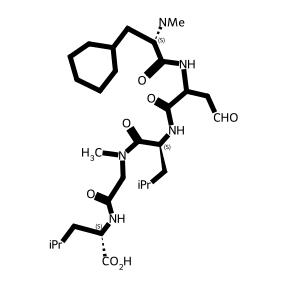 CN[C@@H](CC1CCCCC1)C(=O)NC(CC=O)C(=O)N[C@@H](CC(C)C)C(=O)N(C)CC(=O)N[C@@H](CC(C)C)C(=O)O